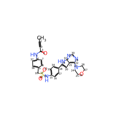 CC#CC(=O)Nc1ccc(CS(=O)(=O)Nc2ccc(-c3cc4c(N5CCOCC5)ncnc4[nH]3)cc2)cc1